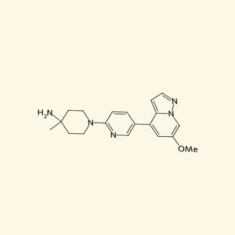 COc1cc(-c2ccc(N3CCC(C)(N)CC3)nc2)c2ccnn2c1